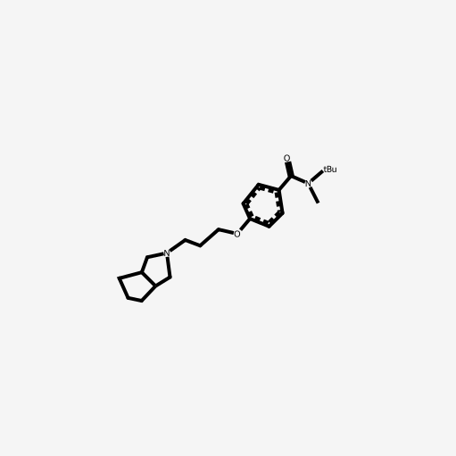 CN(C(=O)c1ccc(OCCCN2CC3CCCC3C2)cc1)C(C)(C)C